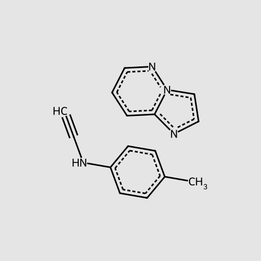 C#CNc1ccc(C)cc1.c1cnn2ccnc2c1